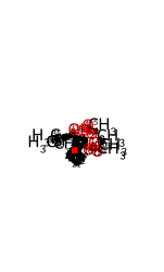 CCOC(OC)Oc1cc(OC(OC)OCC)c(C23CC4CC(CC(C4)C2)C3)cc1C(O)C#C[Si](C)(C)C